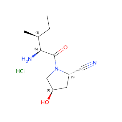 CC[C@H](C)[C@H](N)C(=O)N1C[C@H](O)C[C@H]1C#N.Cl